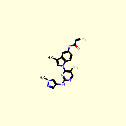 C=CC(=O)Nc1ccc2c(c1)c(C)cn2-c1nc(Nc2cnn(C)c2)ncc1C